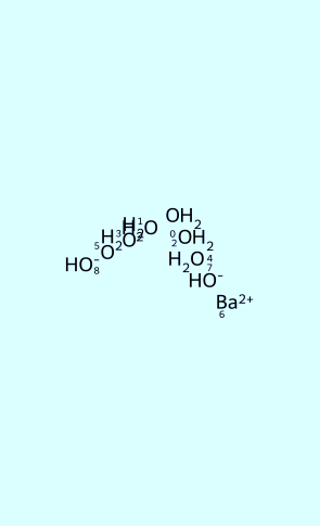 O.O.O.O.O.O.[Ba+2].[OH-].[OH-]